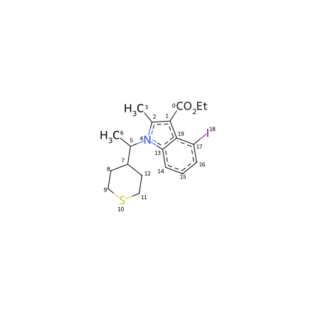 CCOC(=O)c1c(C)n(C(C)C2CCSCC2)c2cccc(I)c12